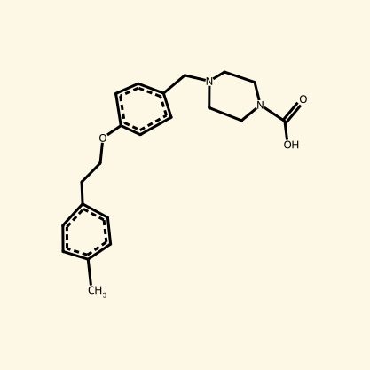 Cc1ccc(CCOc2ccc(CN3CCN(C(=O)O)CC3)cc2)cc1